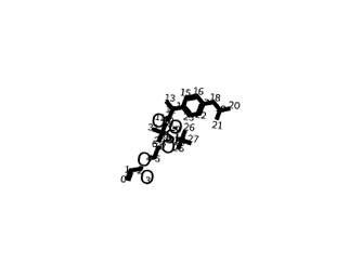 C=CC(=O)OCCO[Si](OC(=O)C(C)c1ccc(CC(C)C)cc1)(C(C)(C)C)C(C)(C)C